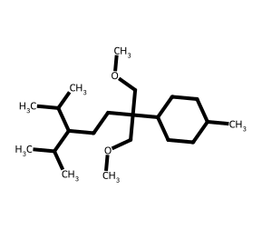 COCC(CCC(C(C)C)C(C)C)(COC)C1CCC(C)CC1